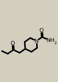 CCC(=O)CC1CCN(C(N)=O)CC1